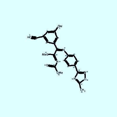 C#Cc1cc(O)cc(C(=Nc2ccc(-c3noc(C)n3)cc2)/C(=N/C(=O)OC)SC)c1